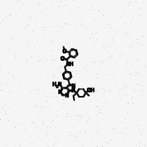 CCC1(n2nc(-c3ccc(CNC(=O)c4ccccc4OC)cc3)c3c(N)ncnc32)CCC(C)(O)CC1